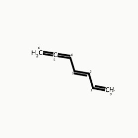 [CH]=CC=CC=C=C